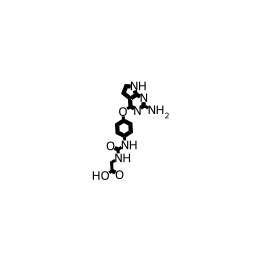 Nc1nc(Oc2ccc(NC(=O)NCC(=O)O)cc2)c2cc[nH]c2n1